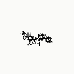 COc1cc(C(=O)NC(C)C)ccc1C(C)CNc1cc(-c2ccc(C)nc2)ncn1